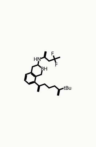 C=C(CC(C)(F)F)NC1BCc2c(cccc2C(=C)CCCC(=C)C(C)(C)C)C1